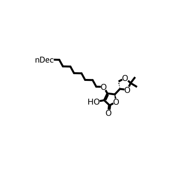 CCCCCCCCCCCCCCCCCCOC1=C(O)C(=O)O[C@@H]1[C@@H]1COC(C)(C)O1